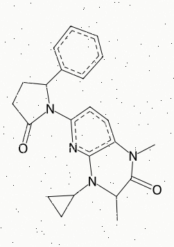 CC1C(=O)N(C)c2ccc(N3C(=O)CCC3c3ccccc3)nc2N1C1CC1